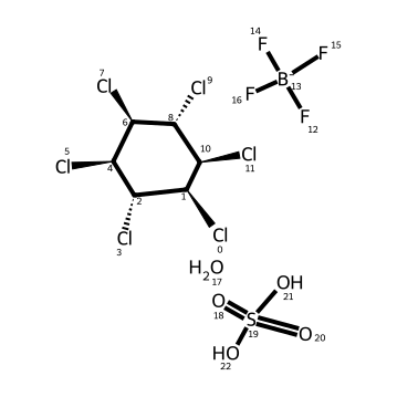 Cl[C@H]1[C@H](Cl)[C@@H](Cl)[C@@H](Cl)[C@H](Cl)[C@H]1Cl.F[B-](F)(F)F.O.O=S(=O)(O)O